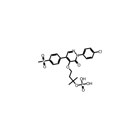 CC(C)(CCOc1c(-c2ccc(S(C)(=O)=O)cc2)cnn(-c2ccc(Cl)cc2)c1=O)OP(=O)(O)O